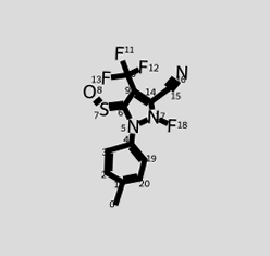 Cc1ccc(-n2c(=S=O)c(C(F)(F)F)c(C#N)n2F)cc1